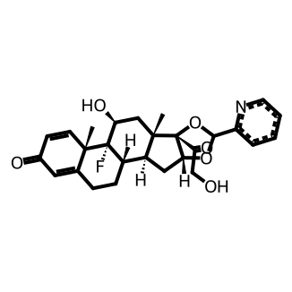 C[C@]12C=CC(=O)C=C1CC[C@H]1[C@@H]3C[C@H]4OC(c5ccccn5)O[C@@]4(C(=O)CO)[C@@]3(C)C[C@H](O)[C@@]12F